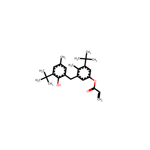 C=CC(=O)Oc1cc(Cc2cc(C)cc(C(C)(C)C)c2O)c(C)c(C(C)(C)C)c1